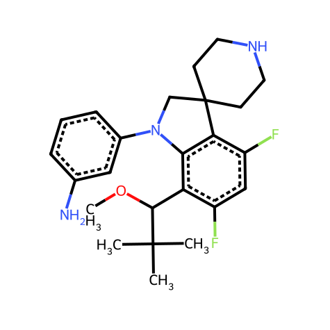 COC(c1c(F)cc(F)c2c1N(c1cccc(N)c1)CC21CCNCC1)C(C)(C)C